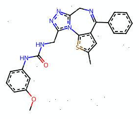 COc1cccc(NC(=O)NCc2nnc3n2-c2sc(C)cc2C(c2ccccc2)=NC3)c1